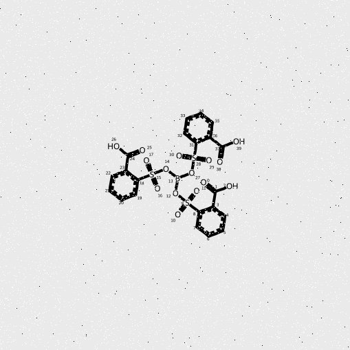 O=C(O)c1ccccc1S(=O)(=O)OB(OS(=O)(=O)c1ccccc1C(=O)O)OS(=O)(=O)c1ccccc1C(=O)O